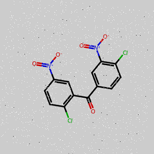 O=C(c1ccc(Cl)c([N+](=O)[O-])c1)c1cc([N+](=O)[O-])ccc1Cl